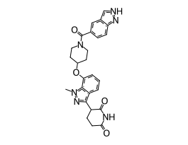 Cn1nc(C2CCC(=O)NC2=O)c2cccc(OC3CCN(C(=O)c4ccc5n[nH]cc5c4)CC3)c21